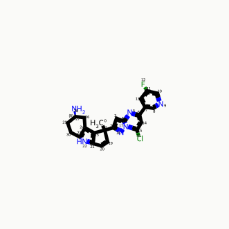 CC1(c2cc3nc(-c4cncc(F)c4)cc(Cl)n3n2)C=Cc2[nH]c3c(c21)C[C@H](N)CC3